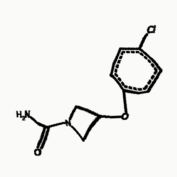 NC(=O)N1CC(Oc2ccc(Cl)cc2)C1